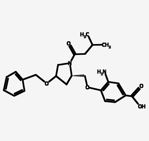 CC(C)CC(=O)N1CC(OCc2ccccc2)C[C@H]1COc1ccc(C(=O)O)cc1N